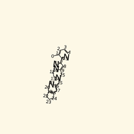 Cc1cccnc1-c1cc2n(n1)CCN(Cc1cc3c(cn1)CCC3)C2